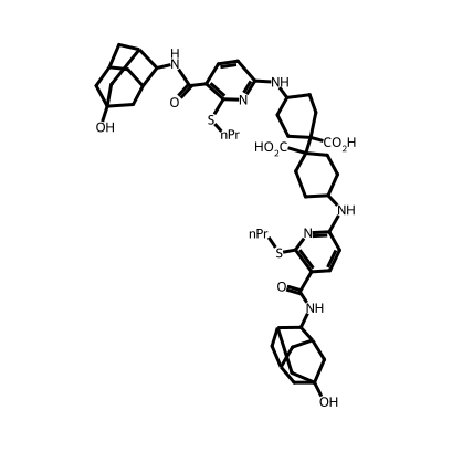 CCCSc1nc(NC2CCC(C(=O)O)(C3(C(=O)O)CCC(Nc4ccc(C(=O)NC5C6CC7CC5CC(O)(C7)C6)c(SCCC)n4)CC3)CC2)ccc1C(=O)NC1C2CC3CC1CC(O)(C3)C2